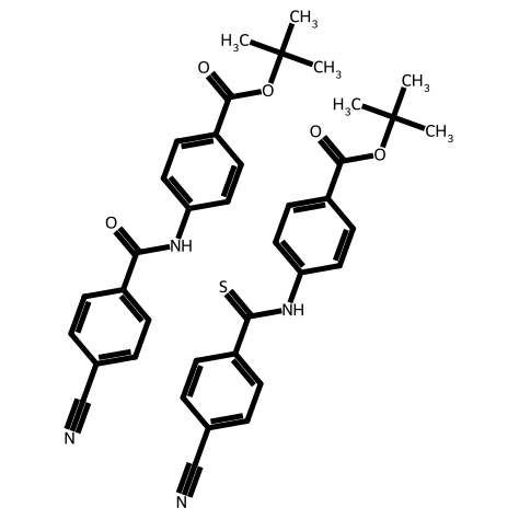 CC(C)(C)OC(=O)c1ccc(NC(=O)c2ccc(C#N)cc2)cc1.CC(C)(C)OC(=O)c1ccc(NC(=S)c2ccc(C#N)cc2)cc1